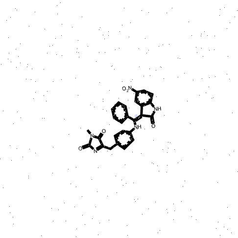 CN1C(=O)N=C(Cc2ccc(N/C(=C3\C(=O)Nc4ccc([N+](=O)[O-])cc43)c3ccccc3)cc2)C1=O